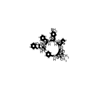 Bc1ccc(C[C@H]2NC(=O)[C@H](Cc3cccs3)NC(=O)[C@H](OC(C)=O)[C@@H](OC(C)=O)C(=O)Nc3ccc(cc3)C[C@@H](C(=O)N[C@@H](Cc3ccccc3)C(=O)O)NC(=O)[C@H](Cc3ccccc3)NC2=O)cc1